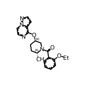 CCOc1ccccc1C(=O)N1C[C@H](Oc2nccn3nccc23)CC[C@H]1C